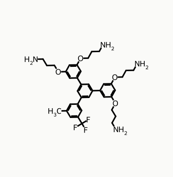 Cc1cc(-c2cc(-c3cc(OCCCN)cc(OCCCN)c3)cc(-c3cc(OCCCN)cc(OCCCN)c3)c2)cc(C(F)(F)F)c1